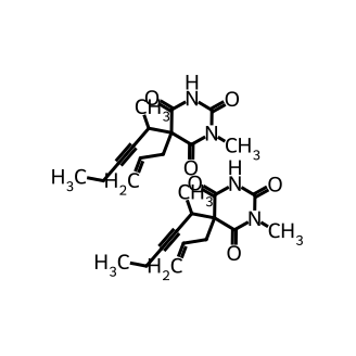 C=CCC1(C(C)C#CCC)C(=O)NC(=O)N(C)C1=O.C=CCC1(C(C)C#CCC)C(=O)NC(=O)N(C)C1=O